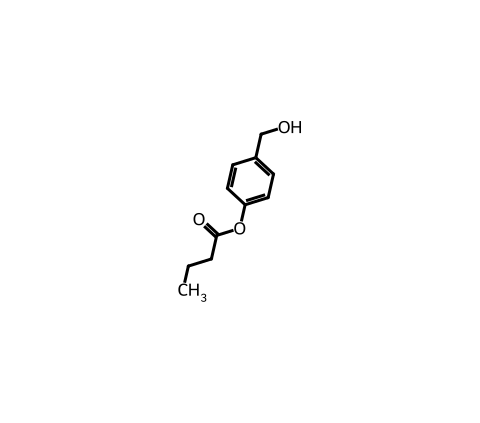 CCCC(=O)Oc1ccc(CO)cc1